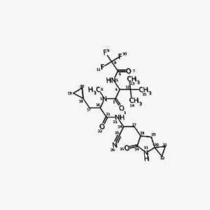 CN(C(=O)C(NC(=O)C(F)(F)F)C(C)(C)C)C(CC1CC1)C(=O)NC(C#N)CC1CC2(CC2)NC1=O